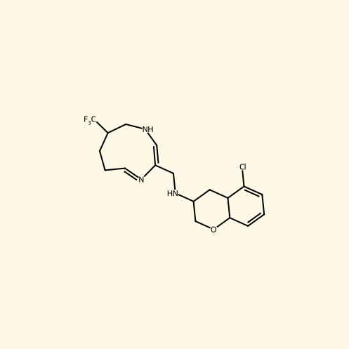 FC(F)(F)C1CC/C=N/C(CNC2COC3C=CC=C(Cl)C3C2)=C\NC1